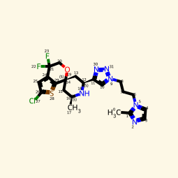 Cc1nccn1CCCn1cc([C@@H]2C[C@]3(C[C@H](C)N2)OCC(F)(F)c2cc(Cl)sc23)nn1